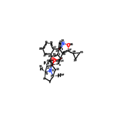 C#Cc1ccc(N2[C@@H]3CC[C@H]2C[C@@H](OCc2c(-c4ccccc4OC(F)(F)F)noc2C2CC2)C3)cc1